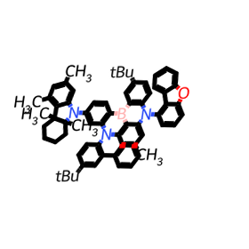 Cc1cc2c3c(c1)N(c1cccc4oc5ccccc5c14)c1ccc(C(C)(C)C)cc1B3c1ccc(N3c4cc(C)cc(C)c4C4(C)CCCCC34C)cc1N2c1ccc(C(C)(C)C)cc1-c1ccccc1